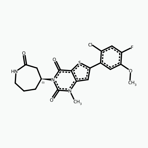 COc1cc(-c2cc3c(s2)c(=O)n([C@H]2CCCNC(=O)C2)c(=O)n3C)c(Cl)cc1F